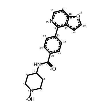 O=C(NC1CCN(O)CC1)c1ccc(-c2nccc3occc23)cc1